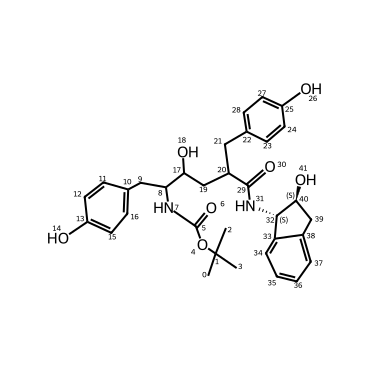 CC(C)(C)OC(=O)NC(Cc1ccc(O)cc1)C(O)CC(Cc1ccc(O)cc1)C(=O)N[C@H]1c2ccccc2C[C@@H]1O